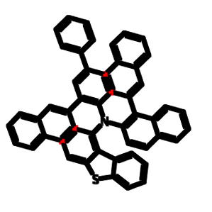 c1ccc(-c2ccc(N(c3ccc4ccccc4c3-c3ccc4ccccc4c3)c3cccc4sc5ccccc5c34)c(-c3ccc4ccccc4c3)c2)cc1